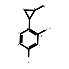 CC1CC1c1ccc(F)cc1F